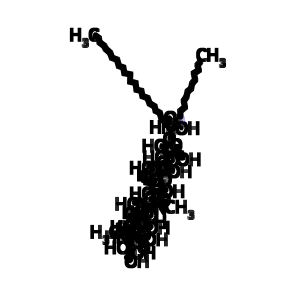 CCCCCCCCCCCCC/C=C/[C@@H](O)[C@H](CO[C@@H]1OC(CO)[C@@H](O[C@@H]2OC(CO)[C@H](O)[C@H](O[C@H]3OC(CO)[C@H](O)[C@H](O[C@@H]4OC(CO)[C@H](O)[C@H](O[C@@H]5OC(CO)[C@H](O)[C@H](O[C@]6(C(=O)O)CC(O)[C@@H](NC(C)=O)C([C@H](O)[C@H](O)CO)O6)C5O)C4NC(C)=O)C3O)C2O)[C@H](O)C1O)NC(=O)CCCCCCCCCCCCCCCCCCCCCCC